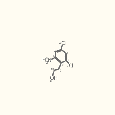 Nc1cc(Cl)cc(Cl)c1CCO